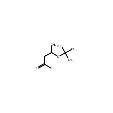 CC(CC(=O)I)OC(C)(C)C